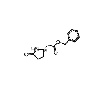 O=C1CC[C@@H](CC(=O)OCc2ccccc2)N1